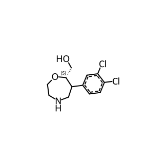 OC[C@H]1OCCNCC1c1ccc(Cl)c(Cl)c1